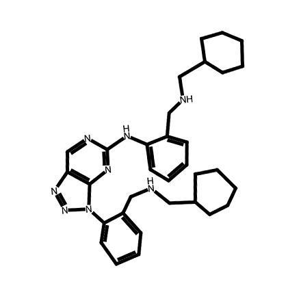 c1ccc(Nc2ncc3nnn(-c4ccccc4CNCC4CCCCC4)c3n2)c(CNCC2CCCCC2)c1